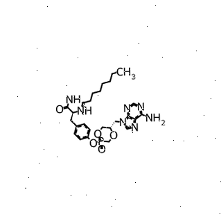 CCCCCCCCN[C@@H](Cc1ccc(OP2(=O)CO[C@@H](Cn3cnc4c(N)ncnc43)CO2)cc1)C(N)=O